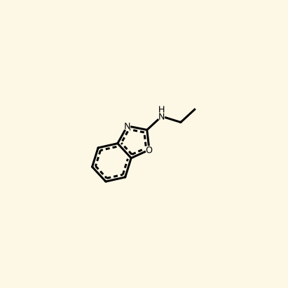 CCNc1nc2ccccc2o1